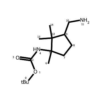 CC(C)(C)OC(=O)NC1(C)CCC(CN)C1(C)C